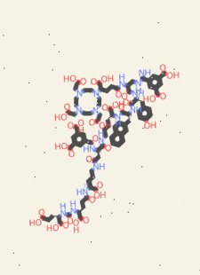 N=C(NCC(NC(=O)CCC(C(=O)O)N1CCN(CC(=O)O)CCN(CC(=O)O)CCN(CC(=O)O)CC1)C(=O)N[C@H](Cc1ccc(O)cc1)C(=O)N[C@H](Cc1ccc2ccccc2c1)C(=O)N[C@H](CCCCNC(=O)[C@@H](CC(=O)NCC/C=C(/NC(=O)CC[C@H](NC(=O)N[C@@H](CCC(=O)O)C(=O)O)C(=O)O)C(=O)O)NC(=O)c1cc(C(=O)O)cc(C(=O)O)c1)C(=O)O)c1cc(C(=O)O)cc(C(=O)O)c1